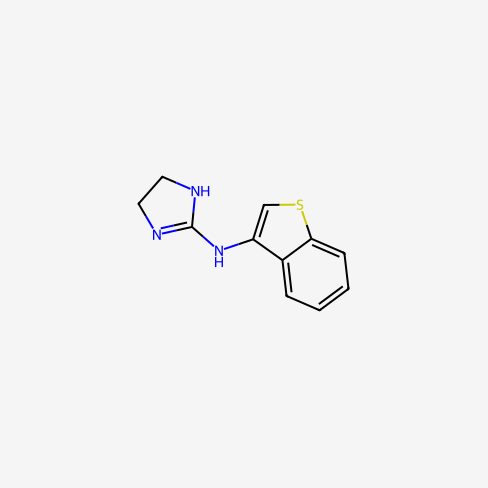 c1ccc2c(NC3=NCCN3)csc2c1